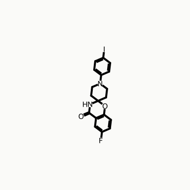 O=C1NC2(CCN(c3ccc(I)cc3)CC2)Oc2ccc(F)cc21